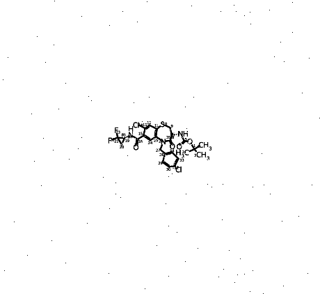 CC(C)(C)OC(=O)N[C@H]1CSc2cc(Cl)c(C(=O)N[C@@H]3CC3(F)F)cc2N(Cc2ccc(Cl)cc2)C1=O